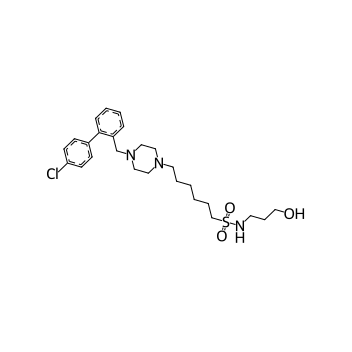 O=S(=O)(CCCCCCN1CCN(Cc2ccccc2-c2ccc(Cl)cc2)CC1)NCCCO